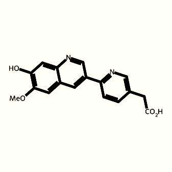 COc1cc2cc(-c3ccc(CC(=O)O)cn3)cnc2cc1O